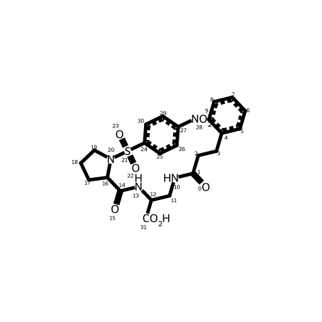 O=C(CCc1ccccc1)NCC(NC(=O)C1CCCN1S(=O)(=O)c1ccc([N+](=O)[O-])cc1)C(=O)O